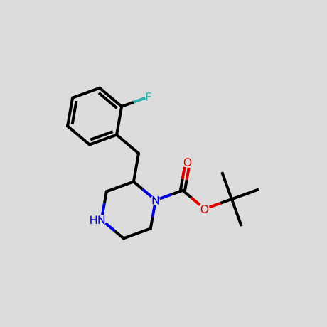 CC(C)(C)OC(=O)N1CCNCC1Cc1ccccc1F